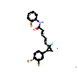 O=C(/C=C/C=C/C1(F)CC1c1ccc(Br)c(Br)c1)Nc1ccccc1Br